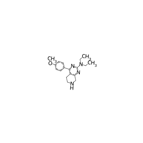 CCN(CC)c1nc2c(c(-c3ccc(OC)cc3)n1)CCNC2